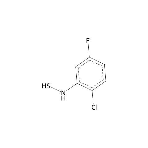 Fc1ccc(Cl)c(NS)c1